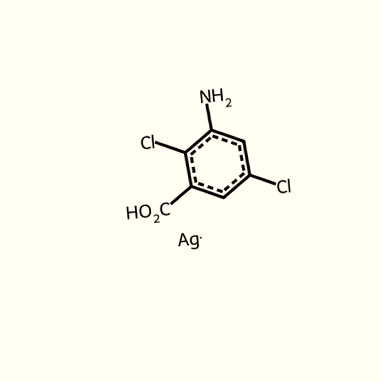 Nc1cc(Cl)cc(C(=O)O)c1Cl.[Ag]